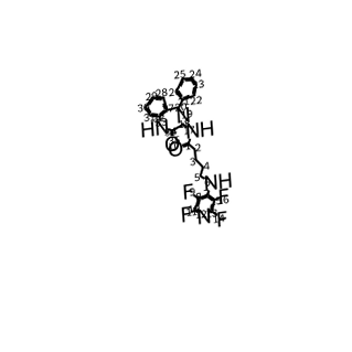 O=C(CCCCNc1c(F)c(F)nc(F)c1F)NC1N=C(c2ccccc2)c2ccccc2NC1=O